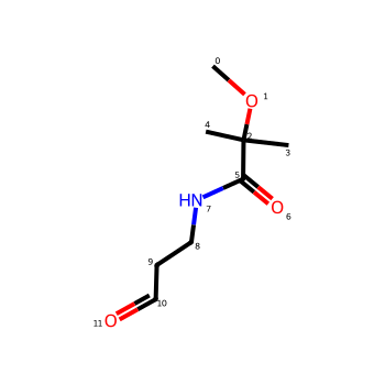 COC(C)(C)C(=O)NCCC=O